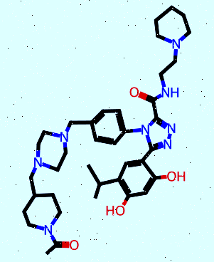 CC(=O)N1CCC(CN2CCN(Cc3ccc(-n4c(C(=O)NCCN5CCCCC5)nnc4-c4cc(C(C)C)c(O)cc4O)cc3)CC2)CC1